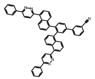 N#Cc1cccc(-c2ccc(-c3cccc4c(-c5ccc(-c6ccccc6)nn5)cccc34)c(-c3cccc4c(-c5ccc(-c6ccccc6)nn5)cccc34)c2)c1